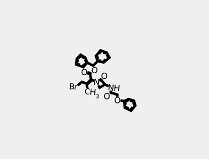 CC(CBr)=C(C(=O)OC(c1ccccc1)c1ccccc1)N1CC(NC(=O)COc2ccccc2)C1=O